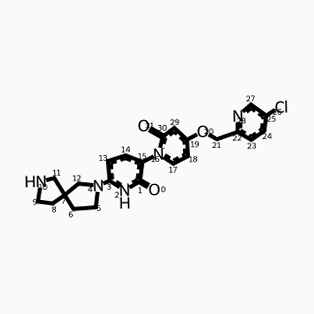 O=c1[nH]c(N2CCC3(CCNC3)C2)ccc1-n1ccc(OCc2ccc(Cl)cn2)cc1=O